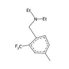 CCN(CC)Cc1ccc(C)cc1C(F)(F)F